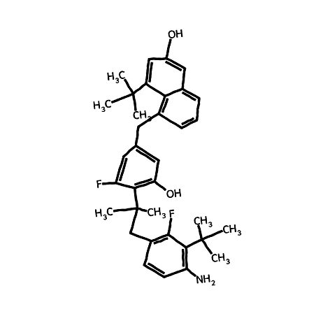 CC(C)(C)c1c(N)ccc(CC(C)(C)c2c(O)cc(Cc3cccc4cc(O)cc(C(C)(C)C)c34)cc2F)c1F